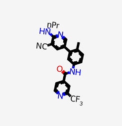 CCCNc1ncc(-c2cc(NC(=O)c3ccnc(C(F)(F)F)c3)ccc2C)cc1C#N